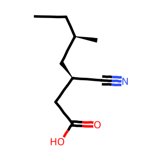 CC[C@@H](C)C[C@@H](C#N)CC(=O)O